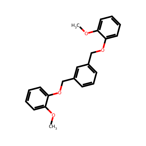 COc1ccccc1OCc1cccc(COc2ccccc2OC)c1